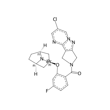 CC(C)N1[C@@H]2CC[C@H]1C[C@@H](Oc1cc(F)ccc1C(=O)N1Cc3nn4cc(Cl)cnc4c3C1)C2